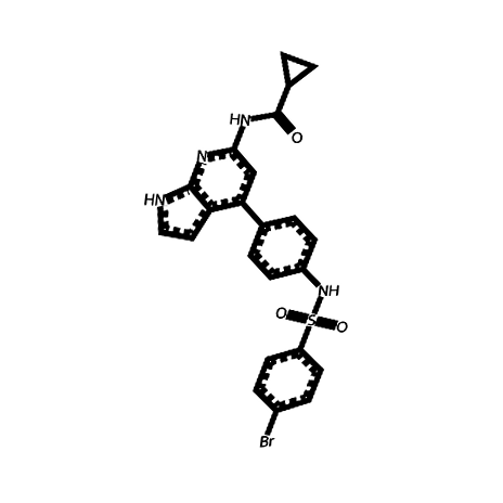 O=C(Nc1cc(-c2ccc(NS(=O)(=O)c3ccc(Br)cc3)cc2)c2cc[nH]c2n1)C1CC1